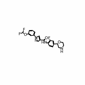 O=C(Nc1ccc(C2CNCCO2)cc1F)c1cnn(-c2cccc(OC(F)F)c2)c1